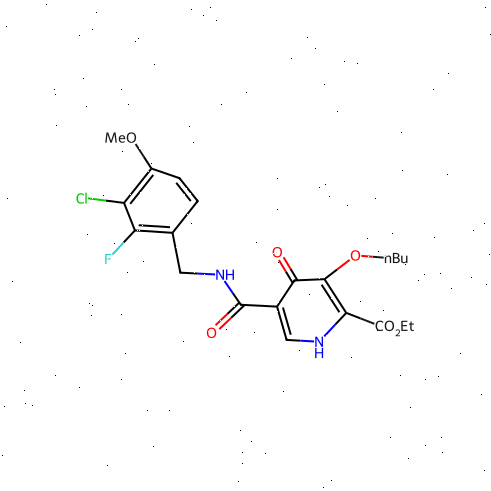 CCCCOc1c(C(=O)OCC)[nH]cc(C(=O)NCc2ccc(OC)c(Cl)c2F)c1=O